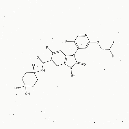 CC(C)n1c(=O)n(-c2cc(OCC(F)F)ncc2F)c2cc(F)c(C(=O)NC3(C)CCS(O)(O)CC3)cc21